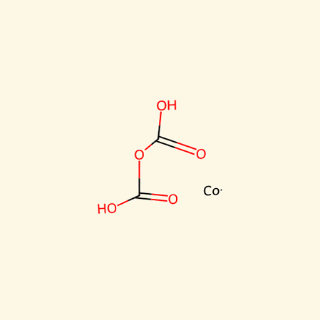 O=C(O)OC(=O)O.[Co]